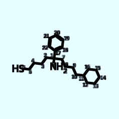 NC(CCCCS)(CCCCC1CCCCC1)c1ccccc1